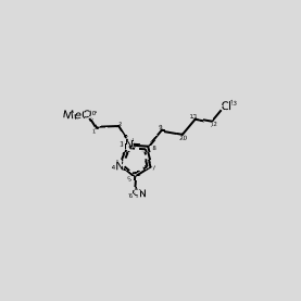 COCCn1nc(C#N)cc1CCCCCl